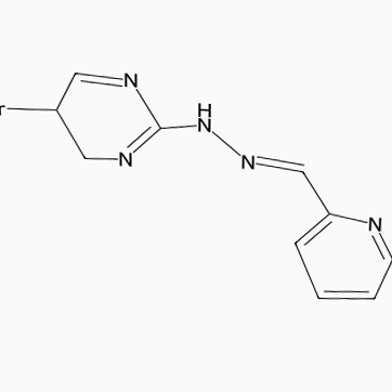 BrC1C=NC(N/N=C/c2ccccn2)=NC1